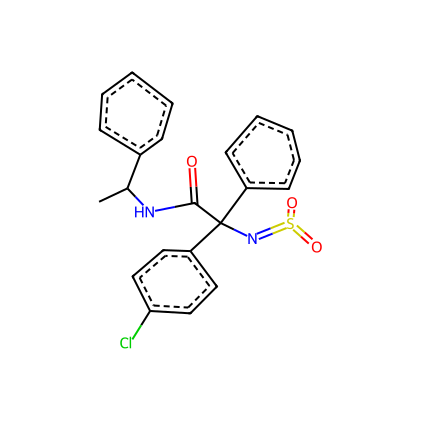 CC(NC(=O)C(N=S(=O)=O)(c1ccccc1)c1ccc(Cl)cc1)c1ccccc1